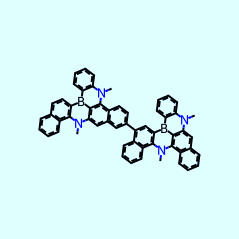 CN1c2ccccc2B2c3cc(-c4ccc5c6c7c(cc5c4)N(C)c4c(ccc5ccccc45)B7c4ccccc4N6C)c4ccccc4c3N(C)c3c2c1cc1ccccc31